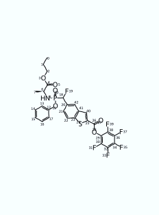 CCCOC(=O)[C@H](C)N[P@@](=O)(Oc1ccccc1)C(F)c1ccc2sc(C(=O)Oc3c(F)c(F)c(F)c(F)c3F)cc2c1